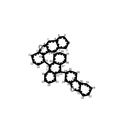 c1ccc2cc3c(cc2c1)oc1cccc(-c2c4ccccc4c(-c4ccc5c(c4)oc4ccccc45)c4ccccc24)c13